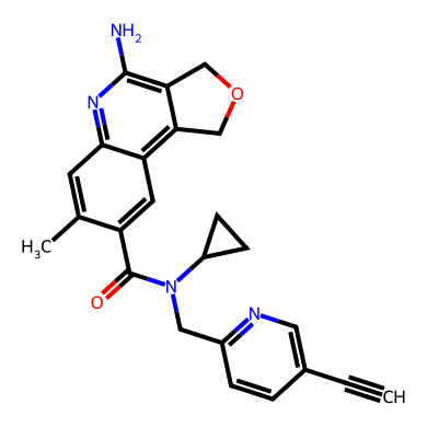 C#Cc1ccc(CN(C(=O)c2cc3c4c(c(N)nc3cc2C)COC4)C2CC2)nc1